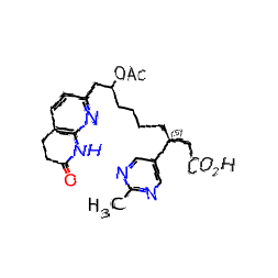 CC(=O)OC(CCCC[C@@H](CC(=O)O)c1cnc(C)nc1)Cc1ccc2c(n1)NC(=O)CC2